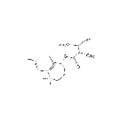 C/C=C/C1=C(C)[C@H](OC(=O)C(OC(C)=O)C(OC(C)=O)C(=O)O)CCC1(C)C